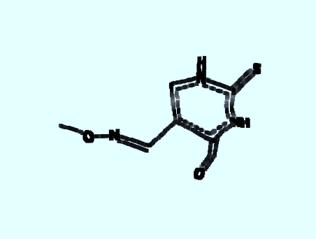 CON=Cc1c[nH]c(=S)[nH]c1=O